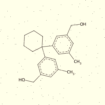 Cc1cc(CO)cc(C2(c3cc(C)cc(CO)c3)CCCCC2)c1